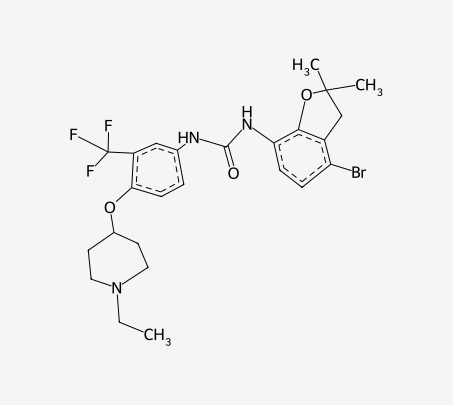 CCN1CCC(Oc2ccc(NC(=O)Nc3ccc(Br)c4c3OC(C)(C)C4)cc2C(F)(F)F)CC1